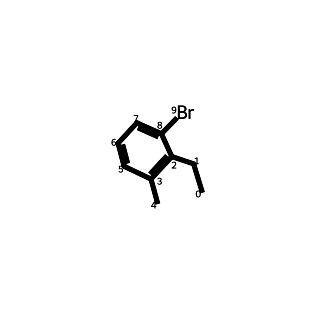 CCc1c(C)cccc1Br